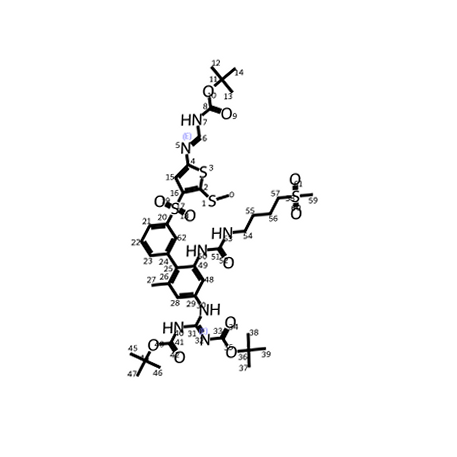 CSc1sc(/N=C/NC(=O)OC(C)(C)C)cc1S(=O)(=O)c1cccc(-c2c(C)cc(N/C(=N\C(=O)OC(C)(C)C)NC(=O)OC(C)(C)C)cc2NC(=O)NCCCCS(C)(=O)=O)c1